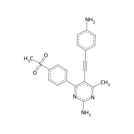 Cc1nc(N)nc(-c2ccc(S(C)(=O)=O)cc2)c1C#Cc1ccc(N)cc1